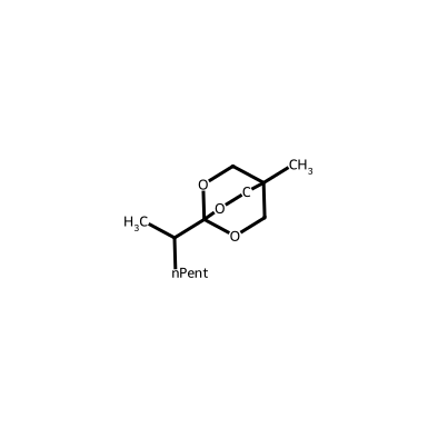 CCCCCC(C)C12OCC(C)(CO1)CO2